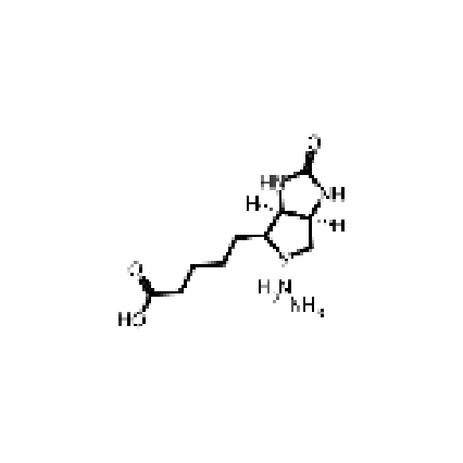 N.N.O=C(O)CCCC[C@@H]1SC[C@@H]2NC(=O)N[C@@H]21